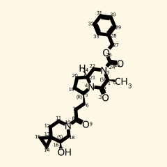 C[C@H]1C(=O)N2[C@@H](CCC(=O)N3CCC4(CC4)[C@H](O)C3)CC[C@H]2CN1C(=O)OCc1ccccc1